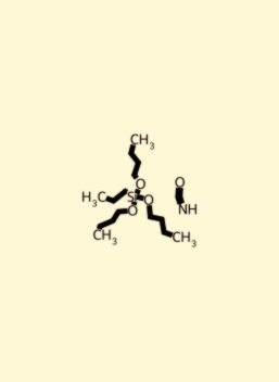 CCCCO[Si](CCC)(OCCCC)OCCCC.N=C=O